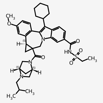 CCS(=O)(=O)NC(=O)c1ccc2c(C3CCCCC3)c3n(c2c1)CC1(C(=O)N2C[C@@H]4C[C@H]2CN4CC(C)C)C[C@H]1c1cc(OC)ccc1-3